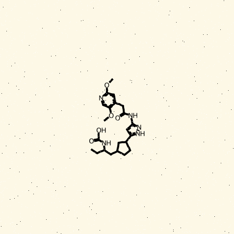 CCC(CC1CCC(c2cc(NC(=O)Cc3cc(OC)ncc3OC)n[nH]2)C1)NC(=O)O